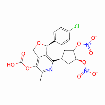 Cc1nc([C@H]2CC(O[N+](=O)[O-])[C@@H](O[N+](=O)[O-])C2)c2c(c1OC(=O)O)CO[C@H]2c1ccc(Cl)cc1